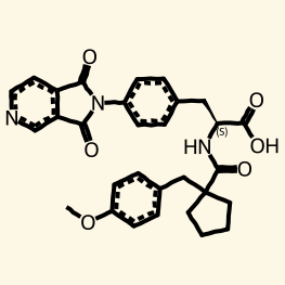 COc1ccc(CC2(C(=O)N[C@@H](Cc3ccc(N4C(=O)c5ccncc5C4=O)cc3)C(=O)O)CCCC2)cc1